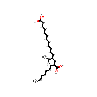 CCCCCCCC(CC(CCCCCCCCCCCC(=O)O)C(C)C)C(=O)O